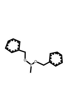 CP(OCc1ccccc1)OCc1ccccc1